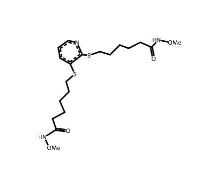 CONC(=O)CCCCCSc1cccnc1SCCCCCC(=O)NOC